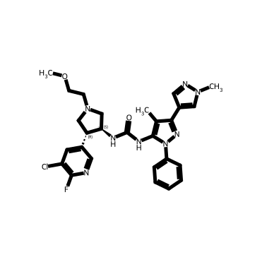 COCCN1C[C@@H](NC(=O)Nc2c(C)c(-c3cnn(C)c3)nn2-c2ccccc2)[C@H](c2cnc(F)c(Cl)c2)C1